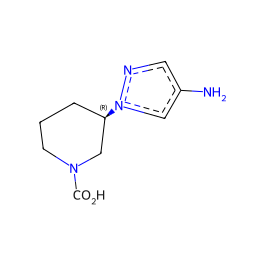 Nc1cnn([C@@H]2CCCN(C(=O)O)C2)c1